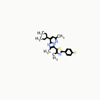 CCC(CC)c1cc(C)nn2c(-c3sc(-c4ccc(F)cc4)nc3C)c(C)nc12